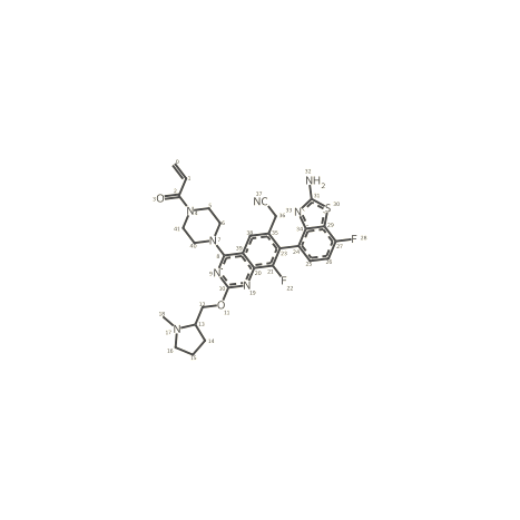 C=CC(=O)N1CCN(c2nc(OCC3CCCN3C)nc3c(F)c(-c4ccc(F)c5sc(N)nc45)c(CC#N)cc23)CC1